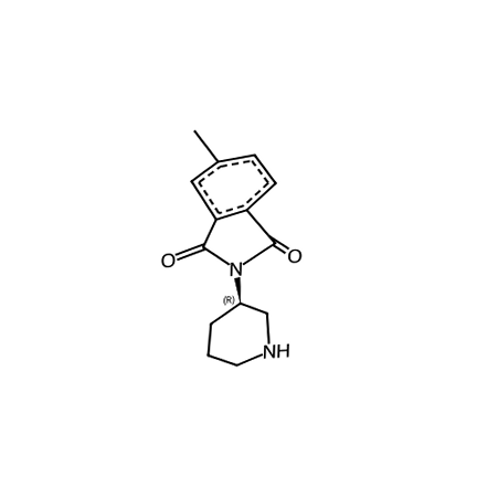 Cc1ccc2c(c1)C(=O)N([C@@H]1CCCNC1)C2=O